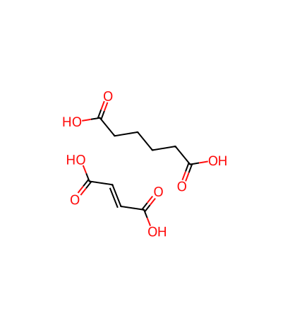 O=C(O)/C=C/C(=O)O.O=C(O)CCCCC(=O)O